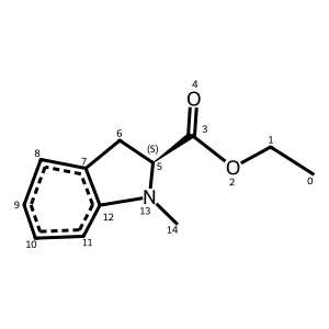 CCOC(=O)[C@@H]1Cc2ccccc2N1C